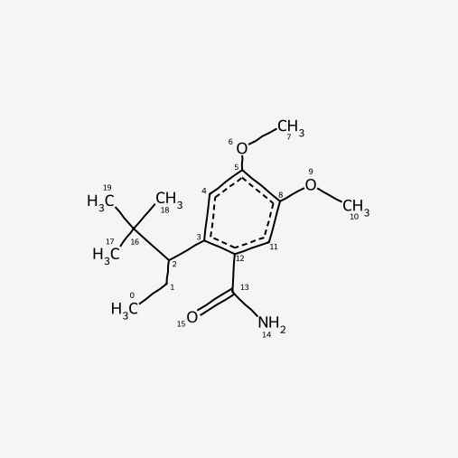 CCC(c1cc(OC)c(OC)cc1C(N)=O)C(C)(C)C